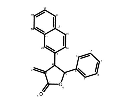 C=C1C(=O)OC(c2ccccc2)C1c1ccc2ccccc2c1